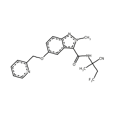 Cn1nc2ccc(OCc3ccccn3)cc2c1C(=O)NC(C)(C#N)CC(F)(F)F